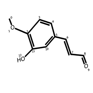 COc1ccc(C=C[C]=O)cc1O